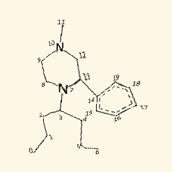 CCCC(CCC)N1CCN(C)CC1c1ccccc1